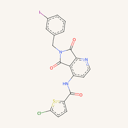 O=C(Nc1ccnc2c1C(=O)N(Cc1cccc(I)c1)C2=O)c1ccc(Cl)s1